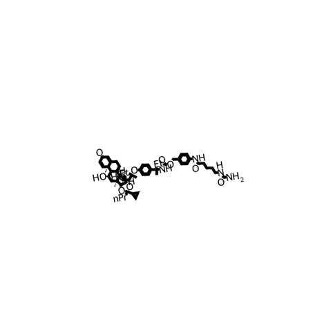 CCCC1(C2CC2)O[C@@H]2C[C@H]3[C@@H]4CCC5=CC(=O)C=C[C@]5(C)C4[C@@H](O)C[C@]3(C)[C@]2(C(=O)CC(C)(CC)Oc2ccc(C(C)(CC)NC(=O)OCc3ccc(NC(=O)CCCCNC(N)=O)cc3)cc2)O1